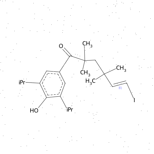 CC(C)c1cc(C(=O)C(C)(C)CC(C)(C)/C=C/I)cc(C(C)C)c1O